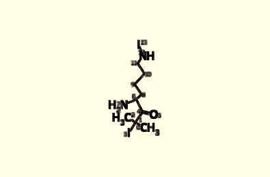 CC(C)(I)C(=O)C(N)CCCCNI